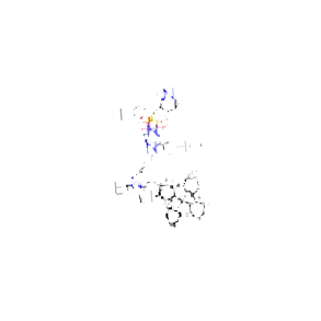 C=CC(c1cccnc1)S(=O)(=O)N1CCN(CCCCN(CC)C(C)Cc2ccc(C(c3ccccc3)(c3ccccc3)c3ccccc3)cc2)C(C=O)C1